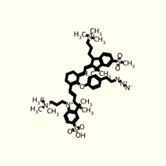 CC1(C)C(/C=C/C2=C(Oc3ccc(CCN=[N+]=[N-])cc3)C(=C/C=C3/C(CCC[N+](C)(C)C)c4ccc(S(C)(=O)=O)cc4C3(C)C)/CCC2)=[N+](CCC[N+](C)(C)C)c2ccc(S(=O)(=O)O)cc21